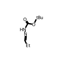 CCC=NNC(=O)OC(C)(C)C